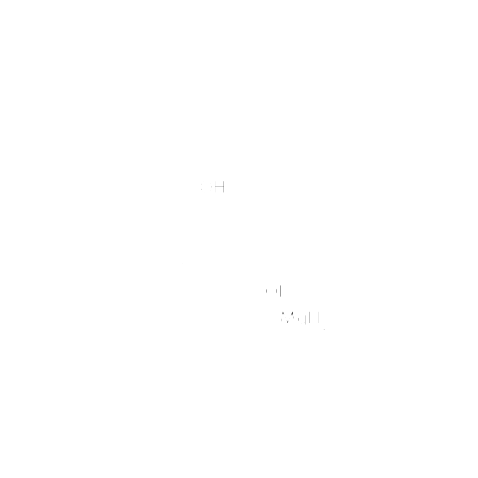 OC(c1ccccc1)C(O)c1ccccc1.[MgH2]